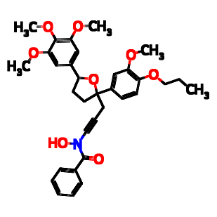 CCCOc1ccc(C2(CC#CN(O)C(=O)c3ccccc3)CCC(c3cc(OC)c(OC)c(OC)c3)O2)cc1OC